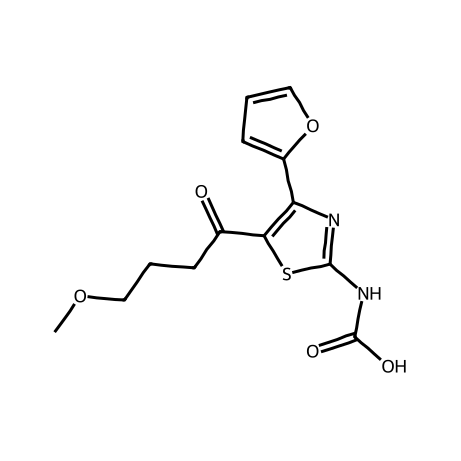 COCCCC(=O)c1sc(NC(=O)O)nc1-c1ccco1